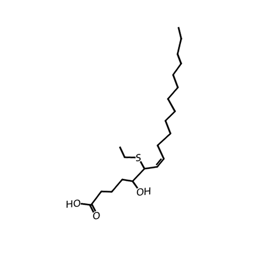 CCCCCCCCCCC/C=C\C(SCC)C(O)CCCC(=O)O